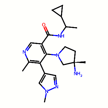 Cc1ncc(C(=O)NC(C)C2CC2)c(N2CC[C@](C)(N)C2)c1-c1cnn(C)c1